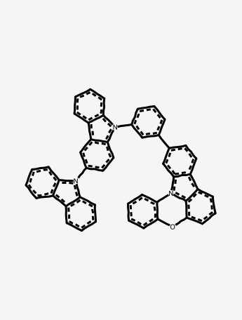 c1cc(-c2ccc3c4cccc5c4n(c3c2)-c2ccccc2O5)cc(-n2c3ccccc3c3cc(-n4c5ccccc5c5ccccc54)ccc32)c1